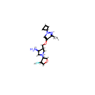 Cc1nn(C2CCC2)cc1OCC1CN(C2COCC2F)CC1N